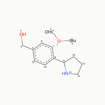 CC(C)(C)OC=O.OCc1ccc(C2CCCN2)cc1